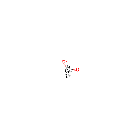 [O]=[GeH][O-].[Tl+]